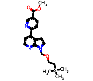 COC(=O)c1ccc(-c2ccnc3c2ccn3COCC[Si](C)(C)C)nc1